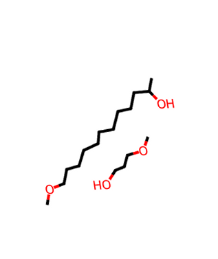 COCCCCCCCCCCC(C)O.COCCCO